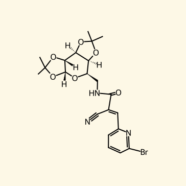 CC1(C)O[C@H]2[C@@H](O1)[C@@H](CNC(=O)C(C#N)=Cc1cccc(Br)n1)O[C@@H]1OC(C)(C)O[C@@H]12